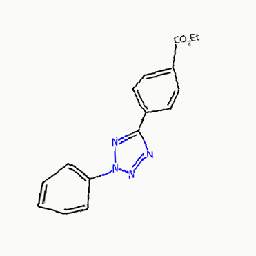 CCOC(=O)c1ccc(-c2nnn(-c3ccccc3)n2)cc1